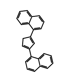 C1=C(c2cccc3ccccc23)C=C(c2cccc3ccccc23)C1